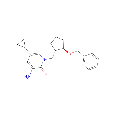 Nc1cc(C2CC2)cn(C[C@@H]2CCC[C@H]2OCc2ccccc2)c1=O